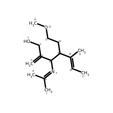 C=C(CO)C(N=C(C)C)C(CCOC)/C(C)=C/C